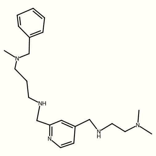 CN(C)CCNCc1ccnc(CNCCCN(C)Cc2ccccc2)c1